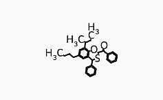 CCCCc1cc(C(C)CC)c2c(c1)C(c1ccccc1)SC(C(=O)c1ccccc1)O2